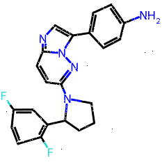 Nc1ccc(-c2cnc3ccc(N4CCCC4c4cc(F)ccc4F)nn23)cc1